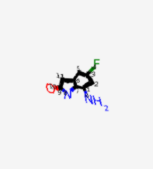 Nc1cc(F)cc2c1=NC(=O)C=2